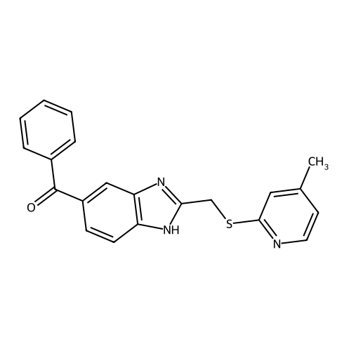 Cc1ccnc(SCc2nc3cc(C(=O)c4ccccc4)ccc3[nH]2)c1